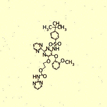 COc1ccccc1Oc1c(NS(=O)(=O)c2ccc(C(C)(C)C)cc2)nc(-c2ncccn2)nc1OCCOC(=O)Nc1ncccn1